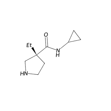 CC[C@@]1(C(=O)NC2CC2)CCNC1